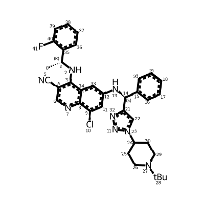 C[C@@H](Nc1c(C#N)cnc2c(Cl)cc(N[C@@H](c3ccccc3)c3cn(C4CCN(C(C)(C)C)CC4)nn3)cc12)c1ccccc1F